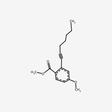 CCCCCC#Cc1cc(OC)ccc1C(=O)OC